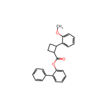 COc1ccccc1C1CCC1C(=O)Oc1ccccc1-c1ccccc1